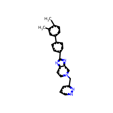 Cc1ccc(-c2ccc(-c3nc4ccn(Cc5cccnn5)cc-4n3)cc2)cc1C